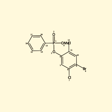 COP(=O)(Oc1cc(Cl)c(Br)cc1Cl)c1ccccc1